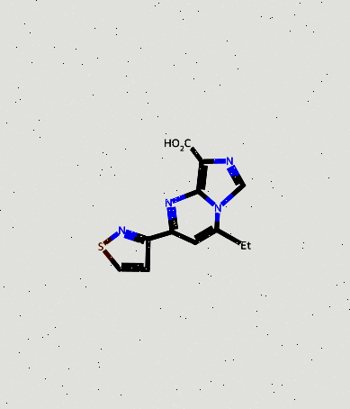 CCc1cc(-c2ccsn2)nc2c(C(=O)O)ncn12